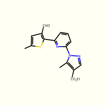 CCOC(=O)c1cnn(-c2cccc(-c3sc(C)cc3C=O)n2)c1C